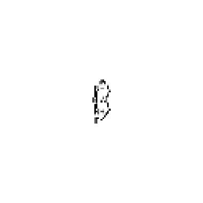 CC(C)[CH2][Al][CH2]C(C)C.N=[N+]=N